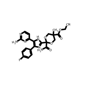 CC1(C(=O)OCC#N)COC(C(N)=O)(c2nc(-c3ccc(F)cc3)c(-c3ccnc(N)n3)[nH]2)OC1